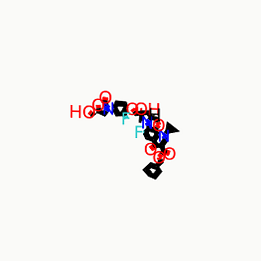 O=C(OCc1ccccc1)c1cn(C2CC2)c2c3c(c(F)cc2c1=O)N1C[C@](O)(COc2ccc(N4C[C@H](CO)OC4=O)cc2F)C[C@H]1CO3